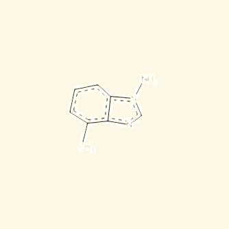 Cc1cccc2c1ncn2N